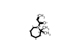 C=CC(=O)N1CCCCCC1(C)C